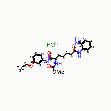 COC(=O)NC(CCCCC(=O)Nc1ccccc1N)C(=O)Nc1cccc(OCC(F)(F)F)c1.Cl